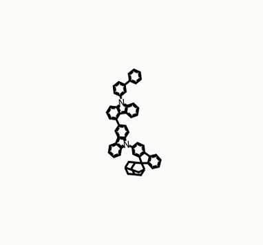 c1ccc(-c2cccc(-n3c4ccccc4c4c(-c5ccc6c(c5)c5ccccc5n6-c5ccc6c(c5)C5(c7ccccc7-6)C6CC7CC(C6)CC5C7)cccc43)c2)cc1